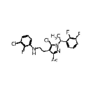 CC(=O)c1nn(C(C)c2cccc(F)c2F)c(Cl)c1CCNc1cccc(Cl)c1F